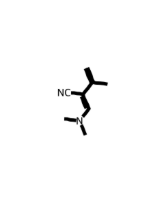 C=C(C)/C(C#N)=C/N(C)C